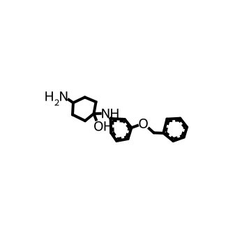 NC1CCC(O)(Nc2cccc(OCc3ccccc3)c2)CC1